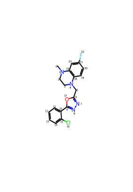 CN1CCN(Cc2nnc(-c3ccccc3Cl)o2)c2ccc(F)cc21